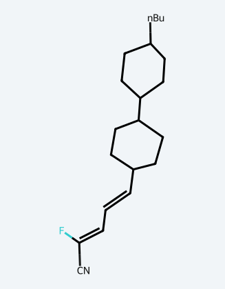 CCCCC1CCC(C2CCC(C=CC=C(F)C#N)CC2)CC1